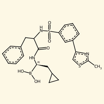 Cc1nc(-c2cccc(S(=O)(=O)NC(Cc3ccccc3)C(=O)N[C@@H](CC3CC3)B(O)O)c2)cs1